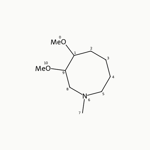 COC1CCCCN(C)CC1OC